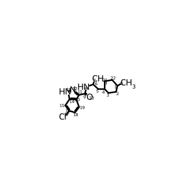 CC1CCC(CC(C)NC(=O)c2n[nH]c3cc(Cl)ccc23)CC1